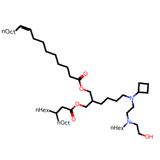 CCCCCCCC/C=C\CCCCCCCC(=O)OCC(CCCCN(CCN(CCO)CCCCCC)C1CCC1)COC(=O)CC(CCCCCC)CCCCCCCC